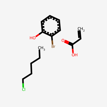 C=CC(=O)O.CCCCCCl.Oc1ccccc1Br